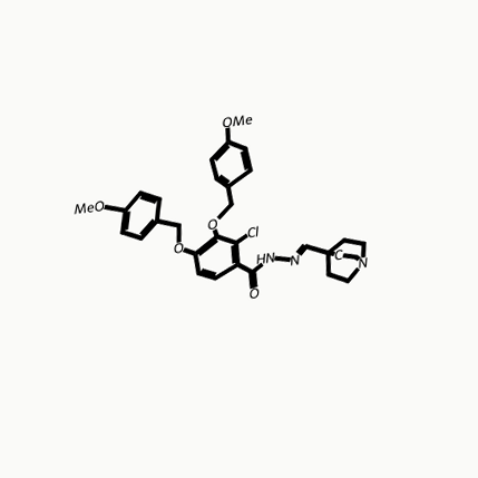 COc1ccc(COc2ccc(C(=O)N/N=C/C34CCN(CC3)CC4)c(Cl)c2OCc2ccc(OC)cc2)cc1